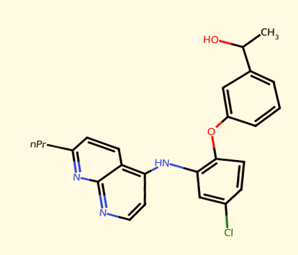 CCCc1ccc2c(Nc3cc(Cl)ccc3Oc3cccc(C(C)O)c3)ccnc2n1